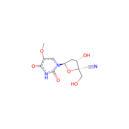 COc1cn([C@H]2C[C@H](O)[C@@](C#N)(CO)O2)c(=O)[nH]c1=O